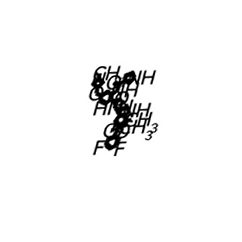 CN1CC(Oc2ccc(C(=O)Nc3n[nH]c4c3CN(S(=O)(=O)c3cc(F)cc(F)c3)C4(C)C)c(NC(=O)c3cc[nH]c3)c2)C1